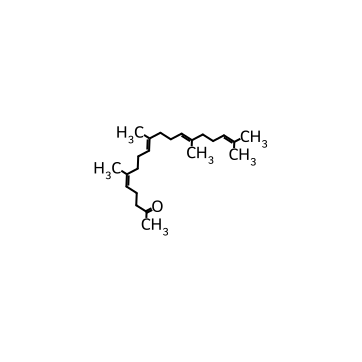 CC(=O)CC/C=C(/C)CC/C=C(\C)CC/C=C(\C)CCC=C(C)C